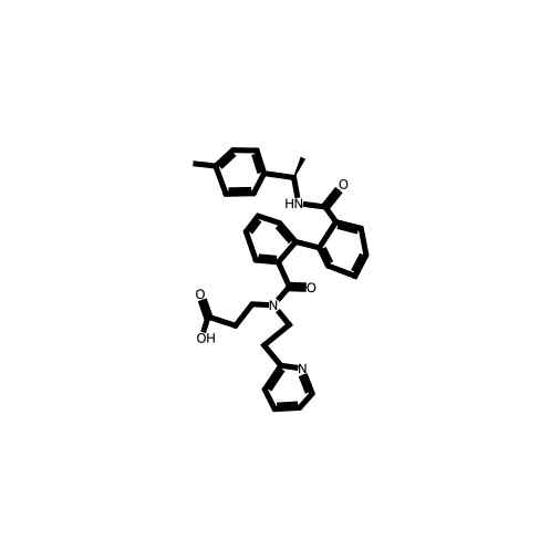 Cc1ccc([C@@H](C)NC(=O)c2ccccc2-c2ccccc2C(=O)N(CCC(=O)O)CCc2ccccn2)cc1